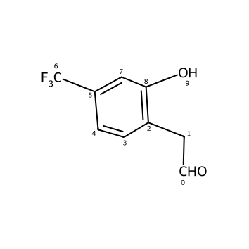 O=CCc1ccc(C(F)(F)F)cc1O